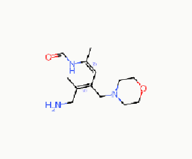 C/C(=C/C(CN1CCOCC1)=C(\C)CN)NC=O